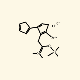 C[Si](C)=C(CC1=[C]([Zr+2])CC=C1C1=CC=CC1)O[Si](C)(C)C.[Cl-].[Cl-]